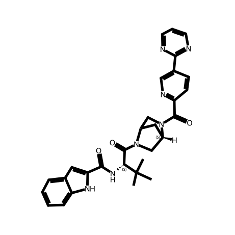 CC(C)(C)[C@H](NC(=O)c1cc2ccccc2[nH]1)C(=O)N1C[C@@H]2CC1CN2C(=O)c1ccc(-c2ncccn2)cn1